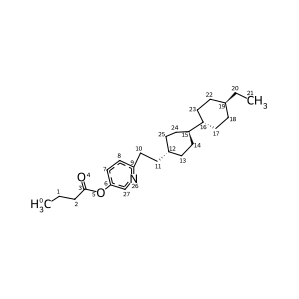 CCCC(=O)Oc1ccc(CC[C@H]2CC[C@H]([C@H]3CC[C@H](CC)CC3)CC2)nc1